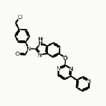 O=CN(c1ccc(CCl)cc1)c1nc2cc(Oc3nccc(-c4cccnc4)n3)ccc2[nH]1